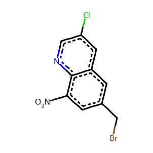 O=[N+]([O-])c1cc(CBr)cc2cc(Cl)cnc12